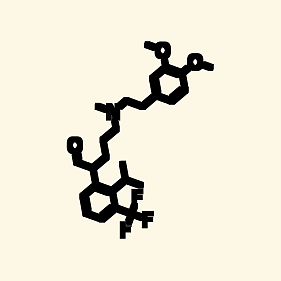 COc1ccc(CCN(C)CCCC(C=O)c2cccc(C(F)(F)F)c2C(C)C)cc1OC